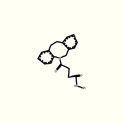 CC(C)NC(=O)CCC(=O)N1Cc2ccccc2CCc2ccccc21